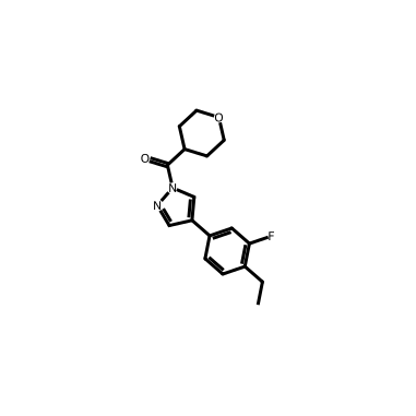 CCc1ccc(-c2cnn(C(=O)C3CCOCC3)c2)cc1F